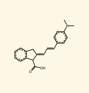 CN(C)c1ccc(C=CC=C2Cc3ccccc3C2C(=O)O)cc1